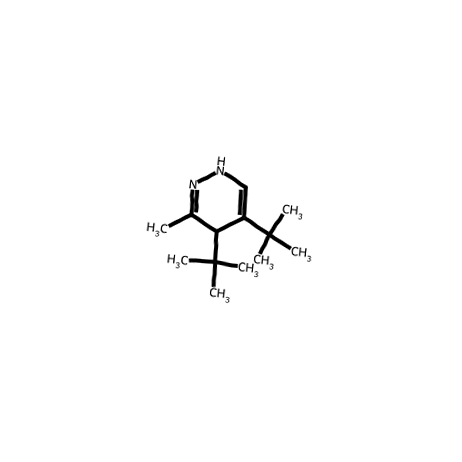 CC1=NNC=C(C(C)(C)C)C1C(C)(C)C